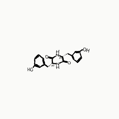 O=C1N[C@H](Cc2cccc(O)c2)C(=O)N[C@@H]1Cc1cccc(O)c1